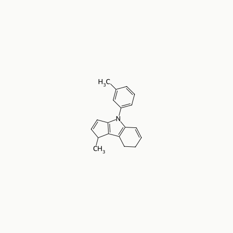 Cc1cccc(-n2c3c(c4c2C=CC4C)CCC=C3)c1